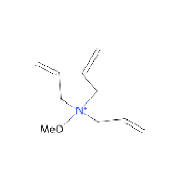 C=CC[N+](CC=C)(CC=C)OC